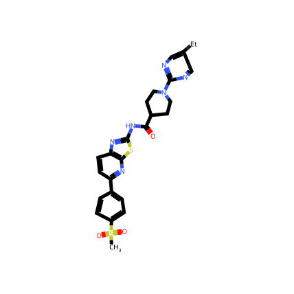 CCc1cnc(N2CCC(C(=O)Nc3nc4ccc(-c5ccc(S(C)(=O)=O)cc5)nc4s3)CC2)nc1